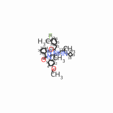 CCOc1ccc(-n2c(C(C)N(CCC(C)NC3CCC3)C(=O)Cc3ccc(F)c(C)c3)nc3ccccc3c2=O)cc1